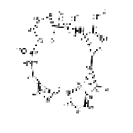 COc1ncc2cc1NS(=O)(=O)c1cccc(c1)C(=O)NCc1ccc(s1)-c1ncnc3c(C)c-2sc13